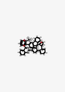 O=S1(=O)c2ccccc2-c2ccc3c(c21)-c1ccccc1C31c2ccccc2-c2ccccc2-c2ccc(-c3nc(-c4ccccc4)c4ccccc4n3)cc21